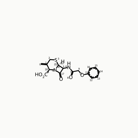 C=C1CS[C@H]2C(NC(=O)COc3ccccc3)C(=O)N2C1C(=O)O